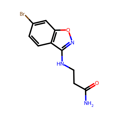 NC(=O)CCNc1noc2cc(Br)ccc12